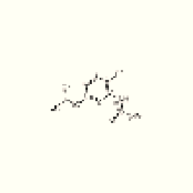 CCC(=O)Oc1ccc(F)c(NC(=O)C(C)C)c1